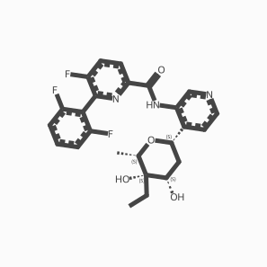 CC[C@@]1(O)[C@H](C)O[C@H](c2ccncc2NC(=O)c2ccc(F)c(-c3c(F)cccc3F)n2)C[C@@H]1O